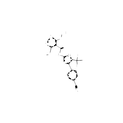 COc1ncnc(OC)c1C(=O)Nc1nc(C(F)(F)F)c(-c2ccc(C#N)cc2)s1